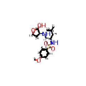 COc1ccc(S(=O)(=O)N[C@@H](CN[C@H]2CCOC2O)CC(C)C)cc1